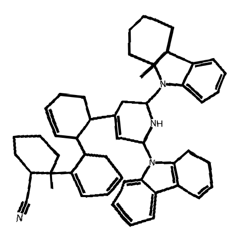 CC1(C2=CC=CCC2C2C=CCCC2C2=CC(n3c4c(c5ccccc53)C=CCC4)NC(N3c4ccccc4C4CCCCC43C)C2)CCCCC1C#N